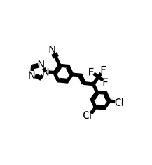 N#Cc1cc(C=CC(c2cc(Cl)cc(Cl)c2)C(F)(F)F)ccc1-n1cncn1